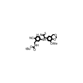 COc1cc(C(Nc2ccc(C#N)c(CNC(=O)OC(C)(C)C)c2)C(N)=S)cc2c1OCOC2